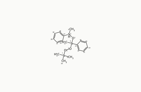 C[SiH](O[Si](C)(OO[Si](C)(C)C)c1ccccc1)c1ccccc1